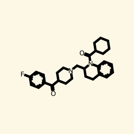 O=C(c1ccc(F)cc1)C1CCN(CC2CCc3ccccc3N2C(=O)C2CCCCC2)CC1